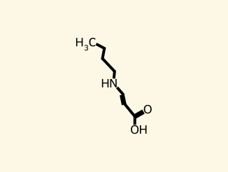 CCCCNC=CC(=O)O